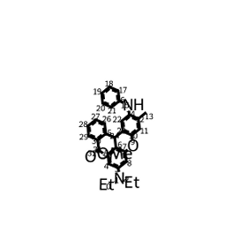 CCN(CC)c1ccc2c(c1)Oc1cc(C)c(Nc3ccccc3)cc1C2c1ccccc1C(=O)OC